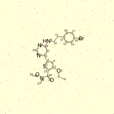 CCOc1cc(-c2cc(NCCc3ccc(Br)cc3)ncn2)sc1C(=O)N(C)OC